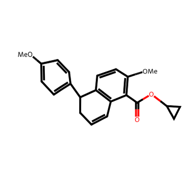 COc1ccc(C2CC=Cc3c2ccc(OC)c3C(=O)OC2CC2)cc1